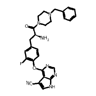 N#Cc1c[nH]c2ncnc(Oc3ccc(C[C@H](N)C(=O)N4CCN(Cc5ccccc5)CC4)cc3F)c12